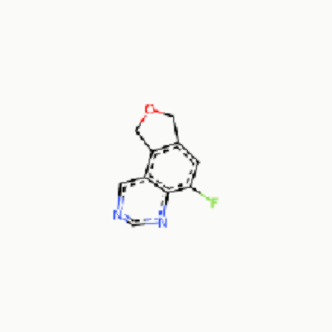 Fc1cc2c(c3cncnc13)COC2